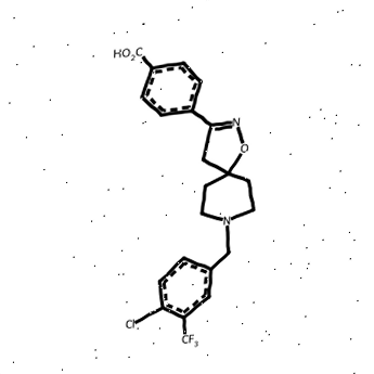 O=C(O)c1ccc(C2=NOC3(CCN(Cc4ccc(Cl)c(C(F)(F)F)c4)CC3)C2)cc1